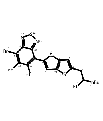 CCCCC(CC)Cc1cc2sc(-c3c(F)c(F)c(Br)c4nsnc34)cc2s1